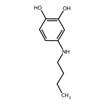 CCCCNc1ccc(O)c(O)c1